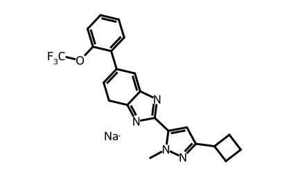 Cn1nc(C2CCC2)cc1C1=NC2=CC(c3ccccc3OC(F)(F)F)=CCC2=N1.[Na]